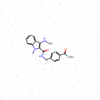 COC(=O)c1ccc([C@H](C)NC(=O)c2c(NC(C)(C)C)c3ccccc3n2C)cc1